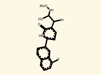 CONC(O)C(c1ccc(-c2ccc3cccc(F)c3c2)[nH]c1=O)C(C)C